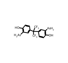 Oc1ccc(C(c2ccc(O)c([AsH2])c2)(C(F)(F)F)C(F)(F)F)cc1[AsH2]